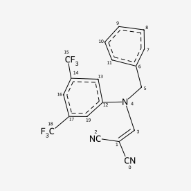 N#CC(C#N)=CN(Cc1ccccc1)c1cc(C(F)(F)F)cc(C(F)(F)F)c1